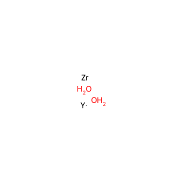 O.O.[Y].[Zr]